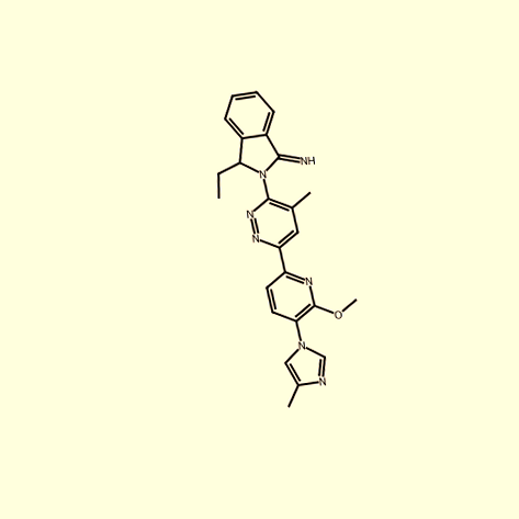 CCC1c2ccccc2C(=N)N1c1nnc(-c2ccc(-n3cnc(C)c3)c(OC)n2)cc1C